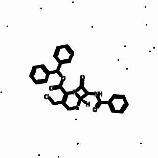 O=C(OC(c1ccccc1)c1ccccc1)C1=C(CCl)CS[C@H]2C(NC(=O)c3ccccc3)C(=O)N12